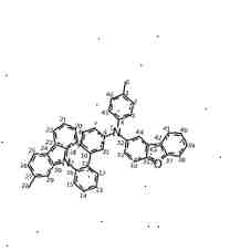 Cc1ccc(N(c2cccc(-c3ccccc3-n3c4ccccc4c4ccc(C)cc43)c2)c2ccc3oc4ccccc4c3c2)cc1